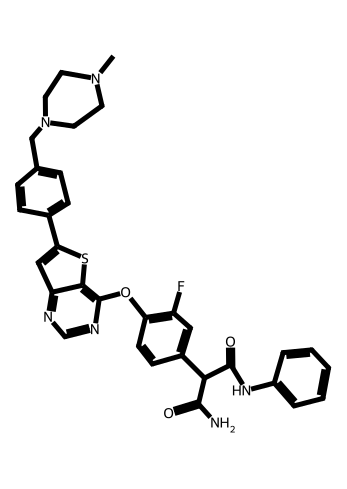 CN1CCN(Cc2ccc(-c3cc4ncnc(Oc5ccc(C(C(N)=O)C(=O)Nc6ccccc6)cc5F)c4s3)cc2)CC1